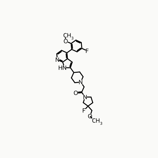 COCC1(F)CCN(C(=O)CN2CCC(c3cc4c(-c5cc(F)ccc5OC)ccnc4[nH]3)CC2)C1